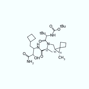 C[C@H]1C2(CCC2)[C@@]12C[C@@H](C(=O)NC(CC1CCC1)C(O)C(N)=O)N(C(=O)C(NC(=O)OC(C)(C)C)C(C)(C)C)C2